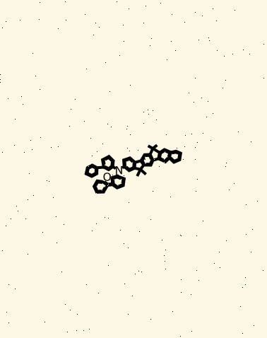 CC1(C)c2cc(N(c3cccc(-c4ccccc4)c3)c3cccc4c3oc3ccccc34)ccc2-c2cc3c(cc21)-c1cc2ccccc2cc1C3(C)C